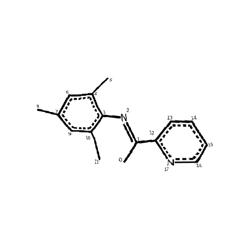 CC(=Nc1c(C)cc(C)cc1C)c1ccccn1